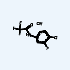 Cl.O=C(Nc1ccc(Cl)c(F)c1)C(F)(F)F